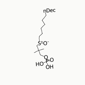 CCCCCCCCCCCCCCCC[S+]([O-])CC(C)(C)COP(=O)(O)O